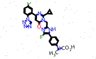 CN(C(=O)O)c1ccc(-c2[nH]c(Cn3c(C4CC4)nc(-c4cc(Cl)ccc4-n4cnnn4)cc3=O)nc2F)cc1